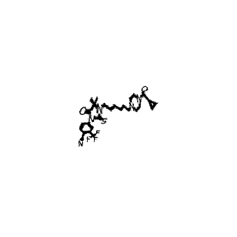 CC1(C)C(=O)N(c2ccc(C#N)c(C(F)(F)F)c2)C(=S)N1CCCCCCN1CCN(C(=O)C2CC2)CC1